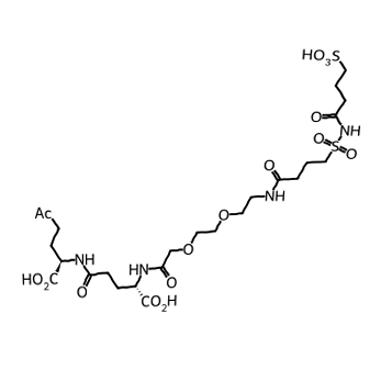 CC(=O)CC[C@@H](NC(=O)CC[C@H](NC(=O)COCCOCCNC(=O)CCCS(=O)(=O)NC(=O)CCCS(=O)(=O)O)C(=O)O)C(=O)O